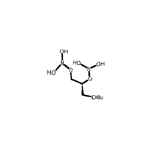 CC(C)COC[C@@H](CON(O)O)ON(O)O